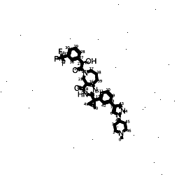 CN1CCC(n2cc(-c3cccc(C4(c5nc6c(c(=O)[nH]5)CN(C(=O)[C@H](O)c5cccc(C(F)(F)F)c5)CCC6)CC4)c3)cn2)CC1